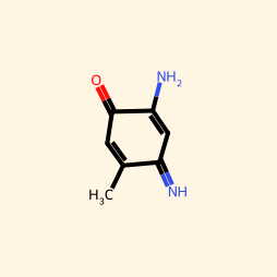 CC1=CC(=O)C(N)=CC1=N